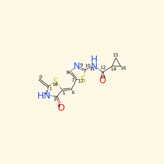 C=c1[nH]c(=O)/c(=C/c2cnc(NC(=O)C3CC3)s2)s1